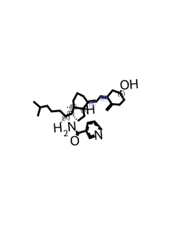 C=C1CC[C@H](O)C/C1=C/C=C1\CCC[C@]2(C)[C@@H]([C@H](C)CCCC(C)C)CC[C@@H]12.NC(=O)c1cccnc1